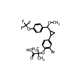 COC(c1ccc(OC(F)(F)F)cc1)C1CC1c1ccc(OC(C)(C)C(=O)O)c(Br)c1